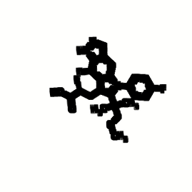 COCC(C)(C)c1c(C[C@H](F)C(=O)O)c2c(F)c3[nH]ncc3cc2n1-c1ccc(F)cc1